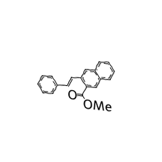 COC(=O)c1cc2ccccc2cc1/C=C/c1ccccc1